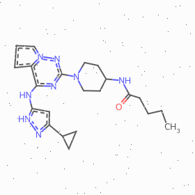 CCCCC(=O)NC1CCN(c2nc(Nc3cc(C4CC4)n[nH]3)c3cccn3n2)CC1